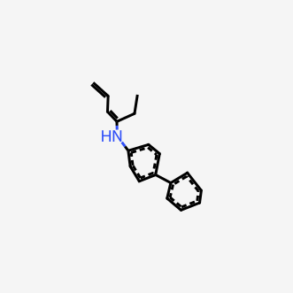 C=C/C=C(\CC)Nc1ccc(-c2ccccc2)cc1